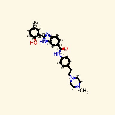 CN1CCN(CCc2ccc(NC(=O)c3ccc4nc(-c5cc(C(C)(C)C)ccc5O)[nH]c4c3)cc2)CC1